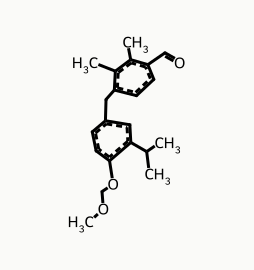 COCOc1ccc(Cc2ccc(C=O)c(C)c2C)cc1C(C)C